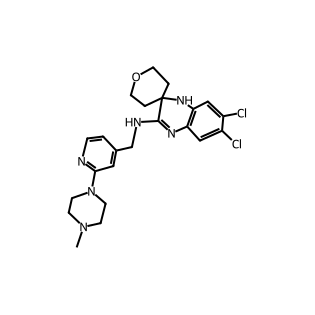 CN1CCN(c2cc(CNC3=Nc4cc(Cl)c(Cl)cc4NC34CCOCC4)ccn2)CC1